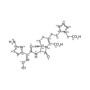 CCON=C(C(=O)NC1C(=O)N2C(C(=O)O)=C(CSc3nnnn3CC(=O)O)CS[C@@H]12)c1csc(N)n1